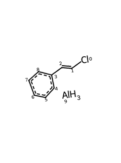 ClC=Cc1ccccc1.[AlH3]